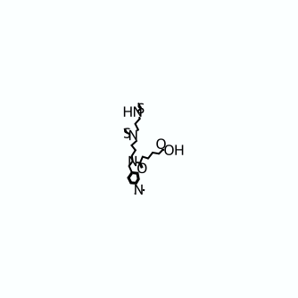 CSNCCCN(CCCCN(Cc1ccc(N(C)C)cc1)C(=O)CCCCC(=O)O)SC